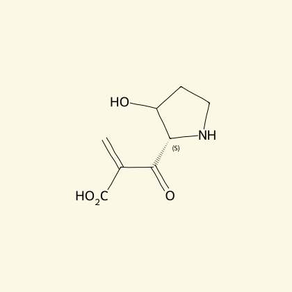 C=C(C(=O)O)C(=O)[C@H]1NCCC1O